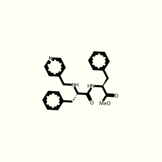 COC(=O)[C@H](Cc1ccccc1)NC(=O)[C@H](Cc1ccccc1)NCc1ccncc1